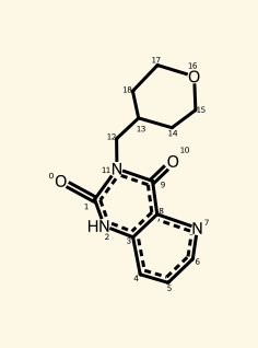 O=c1[nH]c2cccnc2c(=O)n1CC1CCOCC1